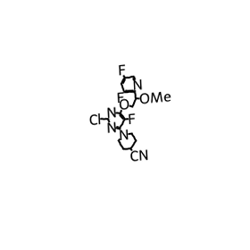 COC(COc1nc(Cl)nc(N2CCC(C#N)CC2)c1F)c1ncc(F)cc1F